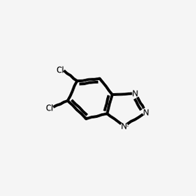 Clc1cc2c(cc1Cl)N=N[N]2